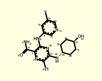 CCc1nc(C(N)=O)c(Nc2cncc(C)c2)nc1N[C@H]1CC[C@H](O)CC1